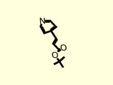 CC(C)(C)OC(=O)/C=C/c1ccncc1